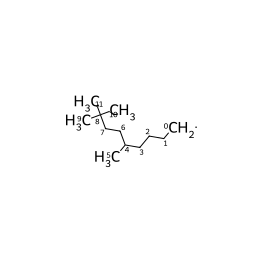 [CH2]CCCC(C)CCC(C)(C)C